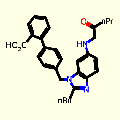 CCCCc1nc2ccc(NCC(=O)CCC)cc2n1Cc1ccc(-c2ccccc2C(=O)O)cc1